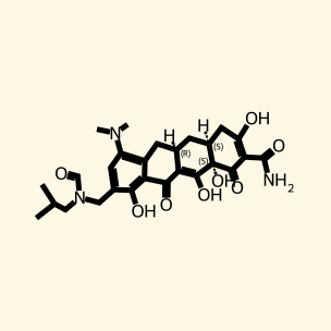 CC(C)CN(C=O)Cc1cc(N(C)C)c2c(c1O)C(=O)C1=C(O)[C@]3(O)C(=O)C(C(N)=O)=C(O)C[C@@H]3C[C@@H]1C2